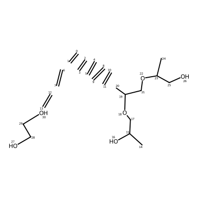 C=C.C=C.C=C.C=C.C=C.C=C.C=C.CC(O)COC(C)COC(C)CO.OCCO